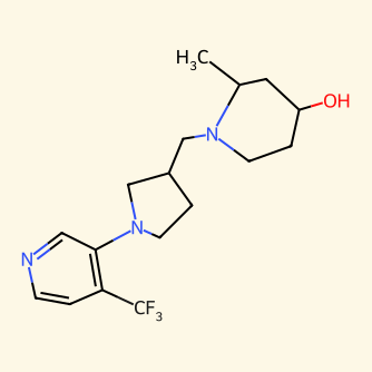 CC1CC(O)CCN1CC1CCN(c2cnccc2C(F)(F)F)C1